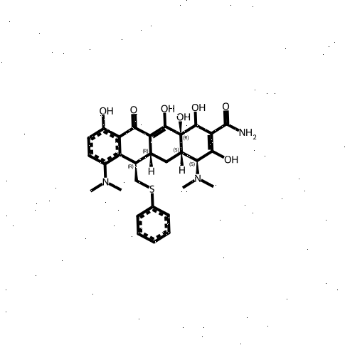 CN(C)c1ccc(O)c2c1[C@H](CSc1ccccc1)[C@H]1C[C@H]3[C@H](N(C)C)C(O)=C(C(N)=O)C(O)[C@@]3(O)C(O)=C1C2=O